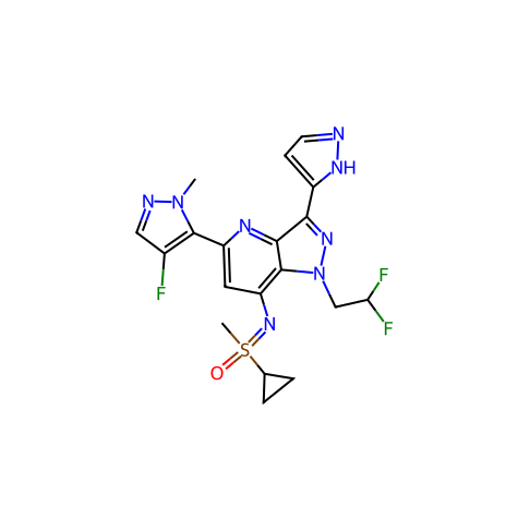 Cn1ncc(F)c1-c1cc(N=S(C)(=O)C2CC2)c2c(n1)c(-c1ccn[nH]1)nn2CC(F)F